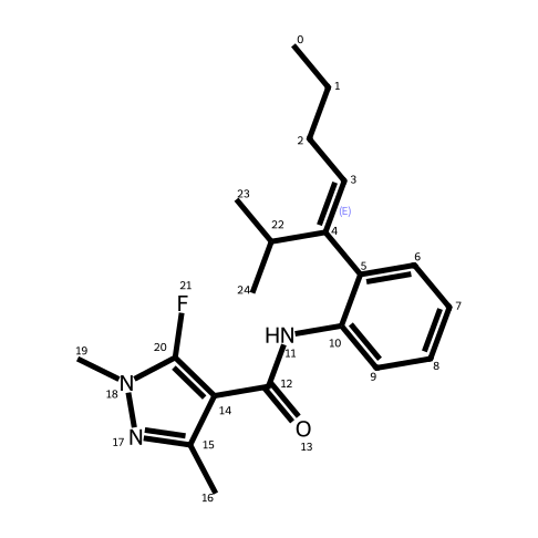 CCC/C=C(/c1ccccc1NC(=O)c1c(C)nn(C)c1F)C(C)C